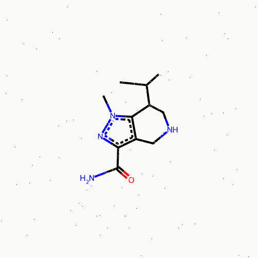 CC(C)C1CNCc2c(C(N)=O)nn(C)c21